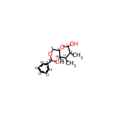 CC1C(O)OC2COC(c3ccccc3)O[C@H]2[C@@H]1C